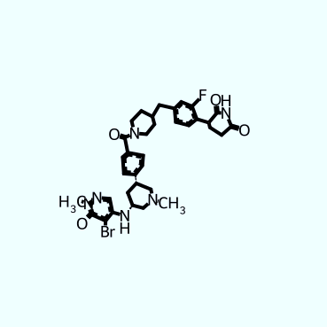 CN1C[C@H](Nc2cnn(C)c(=O)c2Br)C[C@H](c2ccc(C(=O)N3CCC(Cc4ccc(C5CCC(=O)NC5=O)c(F)c4)CC3)cc2)C1